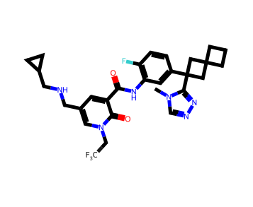 Cn1cnnc1C1(c2ccc(F)c(NC(=O)c3cc(CNCC4CC4)cn(CC(F)(F)F)c3=O)c2)CC2(CCC2)C1